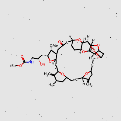 C=C1C2C[C@@H]3O[C@H](C[C@H](O)CNC(=O)OC(C)(C)C)[C@H](OC)C3CC(=O)C[C@H]3CC[C@@H]4O[C@@H]5[C@H]6OC7C[C@](CCC8CC(=C)[C@H](CCC(C[C@H]1C)O2)O8)(O[C@H]6[C@H]4O3)O[C@@H]75